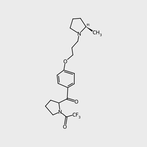 C[C@@H]1CCCN1CCCOc1ccc(C(=O)C2CCCN2C(=O)C(F)(F)F)cc1